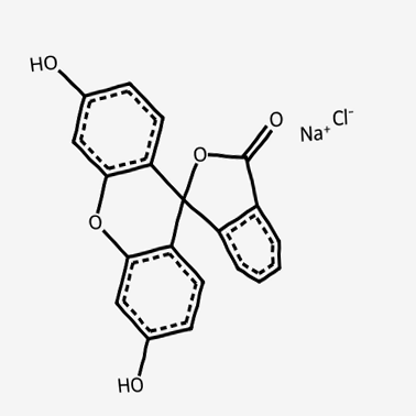 O=C1OC2(c3ccc(O)cc3Oc3cc(O)ccc32)c2ccccc21.[Cl-].[Na+]